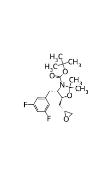 CC(C)(C)OC(=O)N1[C@@H](Cc2cc(F)cc(F)c2)[C@H](C[C@@H]2CO2)OC1(C)C